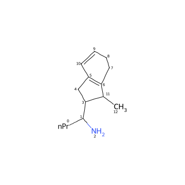 CCCC(N)C1CC2=C(CCC=C2)C1C